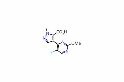 COc1ncc(F)c(-c2cnn(C)c2C(=O)O)n1